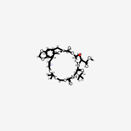 COC(=O)C1C[C@@H]2CN1C(=O)[C@H](C(C)(C)C)NC(=O)OCCC(C)(C)C/C=C\c1c3c(cc4c1OCO4)CN(C3)C(=O)O2